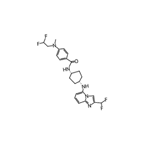 CN(CC(F)F)c1ccc(C(=O)N[C@H]2CC[C@@H](Nc3cccc4nc(C(F)F)cn34)CC2)cc1